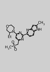 CCC1COCCN1c1cc(CS(C)(=O)=O)nc(-c2ccc3[nH]c(C)cc3n2)n1